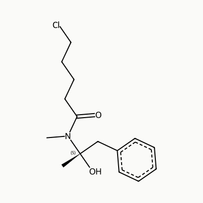 CN(C(=O)CCCCCl)[C@@](C)(O)Cc1ccccc1